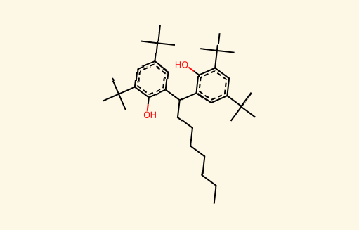 CCCCCCCC(c1cc(C(C)(C)C)cc(C(C)(C)C)c1O)c1cc(C(C)(C)C)cc(C(C)(C)C)c1O